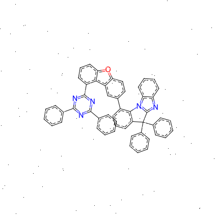 c1ccc(-c2nc(-c3ccccc3)nc(-c3cccc4oc5ccc(-c6cccc7c6-n6c(nc8ccccc86)C7(c6ccccc6)c6ccccc6)cc5c34)n2)cc1